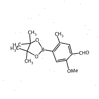 COc1cc(B2OC(C)(C)C(C)(C)O2)c(C)cc1C=O